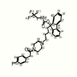 O=C(NCC(F)(F)F)OC1(CCCCN2CCN(C(=O)Cc3ccc(F)cc3)CC2)c2ccccc2-c2ccccc21